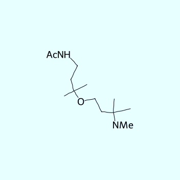 CNC(C)(C)CCOC(C)(C)CCNC(C)=O